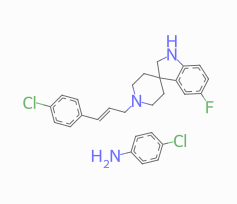 Fc1ccc2c(c1)C1(CCN(CC=Cc3ccc(Cl)cc3)CC1)CN2.Nc1ccc(Cl)cc1